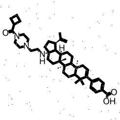 C=C(C)[C@@H]1CC[C@]2(NCCN3CCN(C(=O)C4CCC4)CC3)CC[C@]3(C)[C@H](CCC4[C@@]5(C)CC=C(c6ccc(C(=O)O)cc6)C(C)(C)C5CC[C@]43C)C12